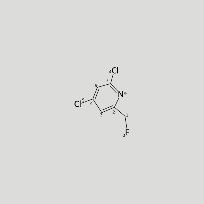 FCc1cc(Cl)cc(Cl)n1